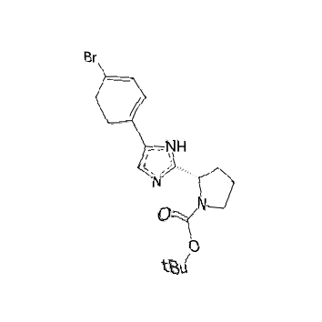 CC(C)(C)OC(=O)N1CCC[C@H]1c1ncc(C2=CC=C(Br)CC2)[nH]1